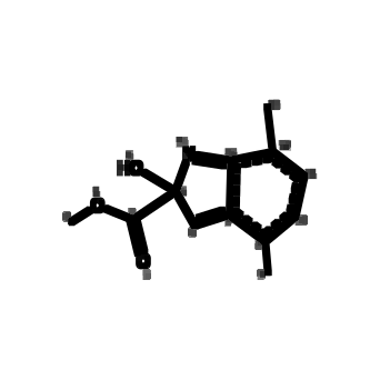 COC(=O)C1(O)C=c2c(C)ccc(C)c2=N1